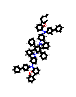 C=C/C=C\c1c(C)oc2c(N(c3ccc(-c4ccccc4)cc3)c3ccc4c(c3)c3cccc5c6c(-c7ccccc7)c7c(c(-c8ccccc8)c6n4c35)c3cccc4c5cc(N(c6ccc(-c8ccccc8)cc6)c6cccc8c6oc6ccccc68)ccc5n7c43)cccc12